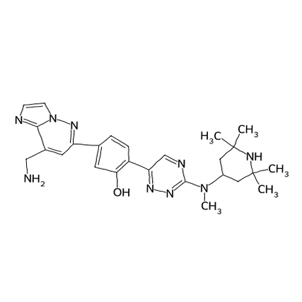 CN(c1ncc(-c2ccc(-c3cc(CN)c4nccn4n3)cc2O)nn1)C1CC(C)(C)NC(C)(C)C1